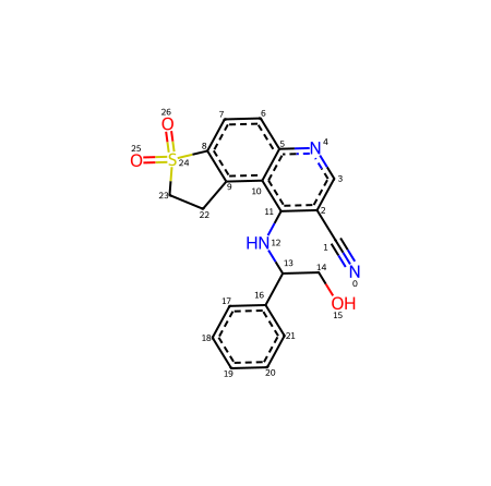 N#Cc1cnc2ccc3c(c2c1NC(CO)c1ccccc1)CCS3(=O)=O